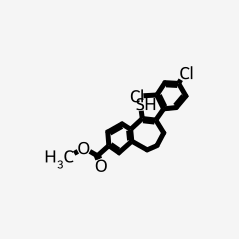 COC(=O)c1ccc2c(c1)CCCC(c1ccc(Cl)cc1Cl)=C2S